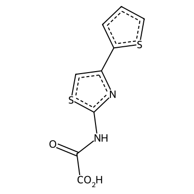 O=C(O)C(=O)Nc1nc(-c2cccs2)cs1